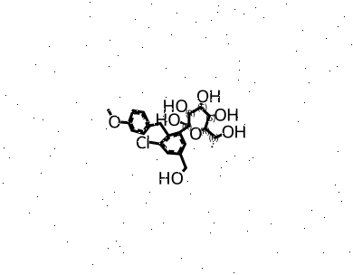 COc1ccc(Cc2c(Cl)cc(CO)cc2[C@@]2(O)O[C@H]([C@@H](C)O)[C@@H](O)[C@H](O)[C@H]2O)cc1